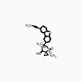 CC#Cc1ccc2sc3ccc([C@]4(C)CS(=O)(=O)[C@@]5(C[C@H]5C)C(=N)N4)cc3c2c1